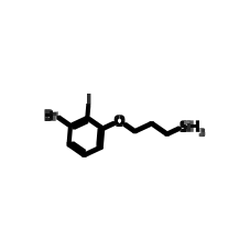 [SiH3]CCCOc1cccc(Br)c1I